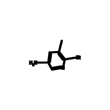 CCc1ncc(N)cc1C